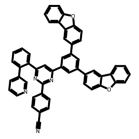 N#Cc1ccc(-c2nc(-c3cc(-c4ccc5oc6ccccc6c5c4)cc(-c4ccc5oc6ccccc6c5c4)c3)cc(-c3ccccc3-c3cccnc3)n2)cc1